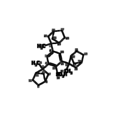 CC1(c2cc(C3(C)CC4CCC3C4)c(S(=O)(=O)O)c(C3(C)CC4CCC3C4)c2)CC2CCC1C2